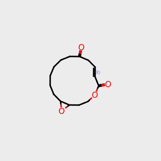 O=C1C/C=C/C(=O)OCCC2OC2CCCCCC1